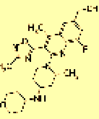 CCc1cc(F)c2nc(N3CC[C@@H](NC4CCOCC4)C[C@H]3C)c(-c3nc(C)no3)c(C)c2c1